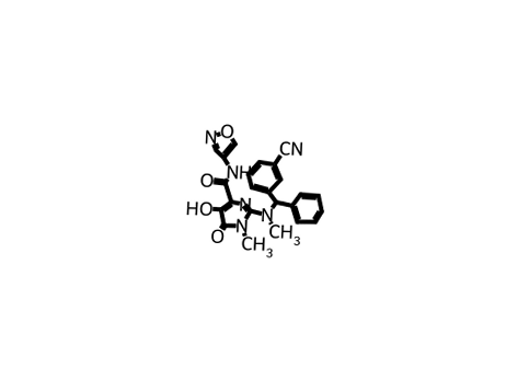 CN(c1nc(C(=O)Nc2cnoc2)c(O)c(=O)n1C)C(c1ccccc1)c1cccc(C#N)c1